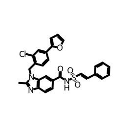 Cc1nc2ccc(C(=O)NS(=O)(=O)/C=C/c3ccccc3)cc2n1Cc1ccc(-c2ccco2)cc1Cl